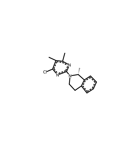 Cc1nc(N2CCc3ccccc3[C@H]2C)nc(Cl)c1C